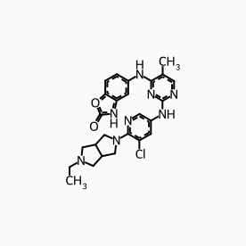 CCN1CC2CN(c3ncc(Nc4ncc(C)c(Nc5ccc6oc(=O)[nH]c6c5)n4)cc3Cl)CC2C1